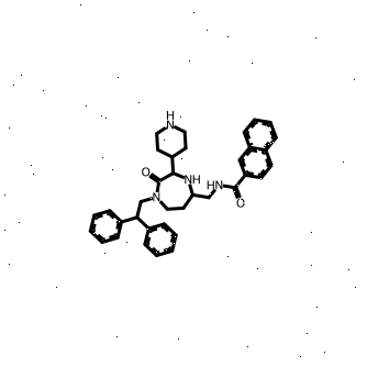 O=C(NCC1CCN(CC(c2ccccc2)c2ccccc2)C(=O)C(C2CCNCC2)N1)c1ccc2ccccc2c1